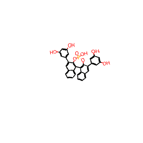 O=P1(O)Oc2c(-c3cc(O)cc(O)c3)cc3ccccc3c2-c2c(c(-c3cc(O)cc(O)c3)cc3ccccc23)O1